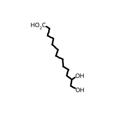 O=C(O)CCCCCCCCCCC(O)CO